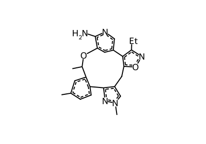 CCc1noc2c1-c1cnc(N)c(c1)OC(C)c1cc(C)ccc1-c1nn(C)cc1C2